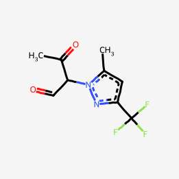 CC(=O)C(C=O)n1nc(C(F)(F)F)cc1C